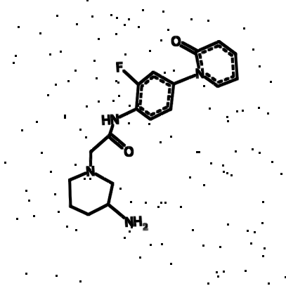 NC1CCCN(CC(=O)Nc2ccc(-n3ccccc3=O)cc2F)C1